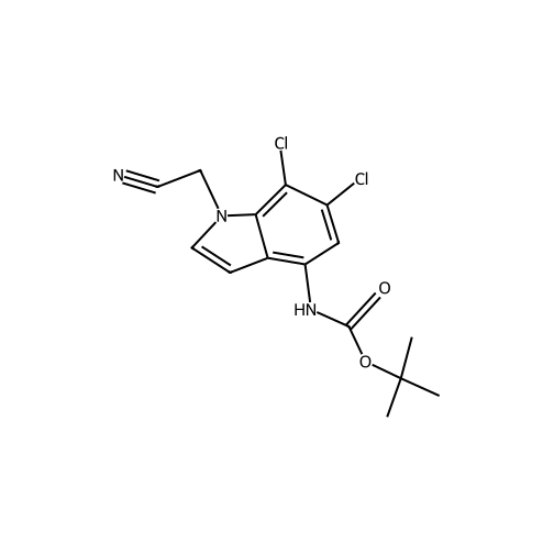 CC(C)(C)OC(=O)Nc1cc(Cl)c(Cl)c2c1ccn2CC#N